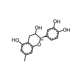 Cc1cc(O)c2c(c1)O[C@H](c1ccc(O)c(O)c1)C(O)C2